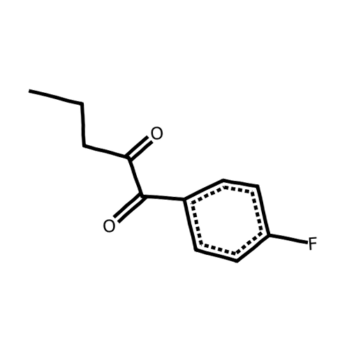 CCCC(=O)C(=O)c1ccc(F)cc1